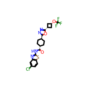 O=C(Nc1nc2cc(Cl)ccc2s1)[C@H]1CC[C@H](c2nnc([C@H]3C[C@@H](OC(F)(F)F)C3)o2)CC1